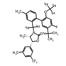 [2H]C([2H])([2H])Oc1cc(F)c(C([2H])(C)C)cc1-c1ccc(C)cc1C([2H])([2H])N1C(=O)O[C@H](c2cc(C)cc(C(F)(F)F)c2)[C@@H]1C